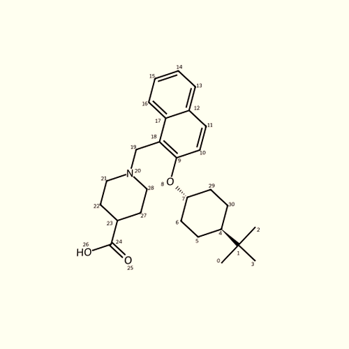 CC(C)(C)[C@H]1CC[C@H](Oc2ccc3ccccc3c2CN2CCC(C(=O)O)CC2)CC1